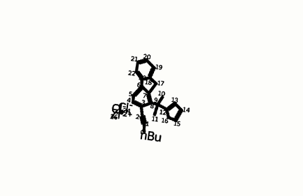 CCCCC#Cc1ccc2c(c1C(C)(C)C1=CC=CC1)Cc1ccccc1-2.[Cl-].[Cl-].[Zr+2]